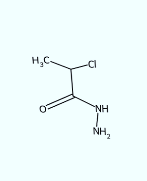 CC(Cl)C(=O)NN